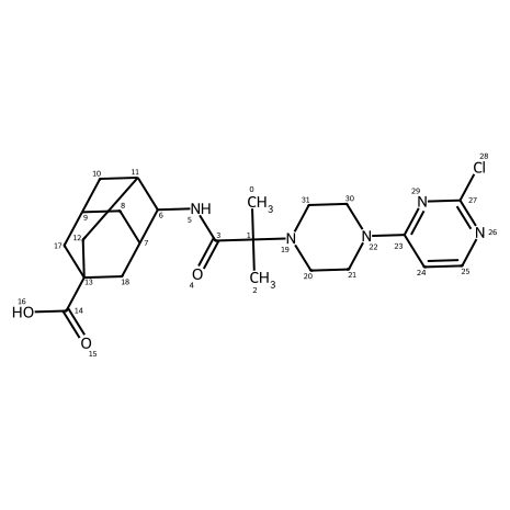 CC(C)(C(=O)NC1C2CC3CC1CC(C(=O)O)(C3)C2)N1CCN(c2ccnc(Cl)n2)CC1